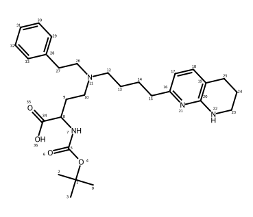 CC(C)(C)OC(=O)NC(CCN(CCCCc1ccc2c(n1)NCCC2)CCc1ccccc1)C(=O)O